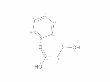 O=C(O)CCO.c1ccccc1